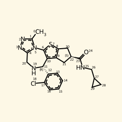 Cc1nnc2n1-c1sc3c(c1[C@H](c1ccccc1Cl)NC2)C[C@H](C(=O)NCC1CC1)C3